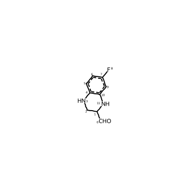 O=CC1CNc2ccc(F)cc2N1